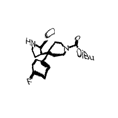 CC(C)COC(=O)N1CCC(c2ccc(F)cc2)(C2CCNC2=O)CC1